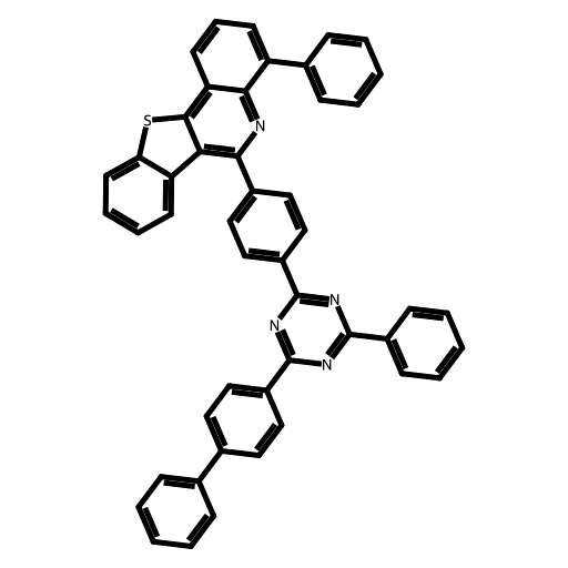 c1ccc(-c2ccc(-c3nc(-c4ccccc4)nc(-c4ccc(-c5nc6c(-c7ccccc7)cccc6c6sc7ccccc7c56)cc4)n3)cc2)cc1